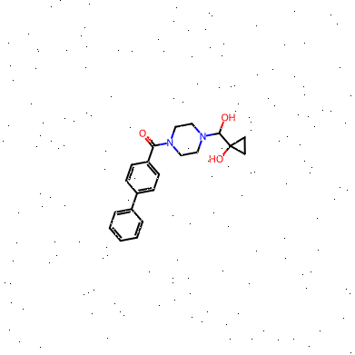 O=C(c1ccc(-c2ccccc2)cc1)N1CCN(C(O)C2(O)CC2)CC1